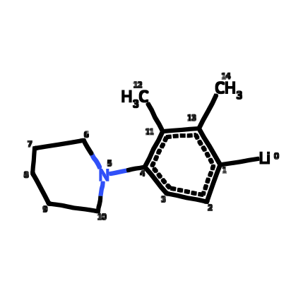 [Li][c]1ccc(N2CCCCC2)c(C)c1C